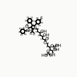 CCC(ON(O)O)C(CCOC(=O)CC(O)CC(O)CCn1c(-c2ccc(F)cc2)c(-c2ccccc2)c(C(=O)Nc2ccccc2)c1C(C)C)ON(O)O